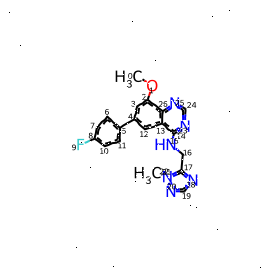 COc1cc(-c2ccc(F)cc2)cc2c(NCc3ncnn3C)ncnc12